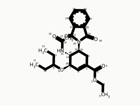 CCOC(=O)C1=C[C@@H](OC(CC)CC)[C@H](NC(C)=O)[C@@H](N2C(=O)c3ccccc3C2=O)C1